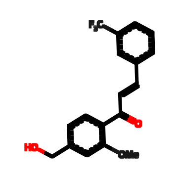 COc1cc(CO)ccc1C(=O)C=Cc1cccc(C(F)(F)F)c1